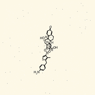 Cc1c([C@@H]2O[C@@H]3C[C@H]4[C@@H]5CCC6=CC(=O)C=C[C@]6(C)[C@H]5[C@@H](O)C[C@]4(C)[C@]3(C(=O)CO)O2)csc1Cc1ccc(N)cc1